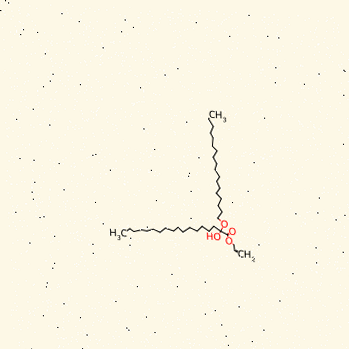 C=CCOC(=O)C(O)(CCCCCCCCCCCCCCCC)OCCCCCCCCCCCCCCCCCC